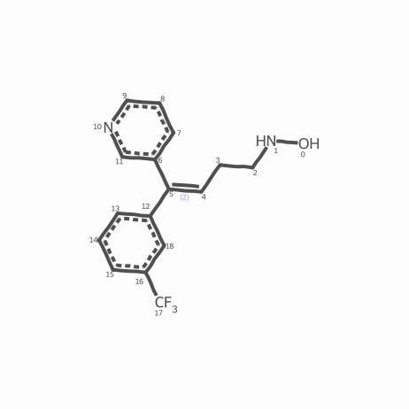 ONCC/C=C(\c1cccnc1)c1cccc(C(F)(F)F)c1